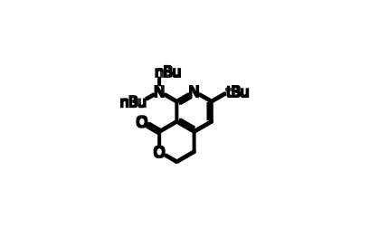 CCCCN(CCCC)c1nc(C(C)(C)C)cc2c1C(=O)OCC2